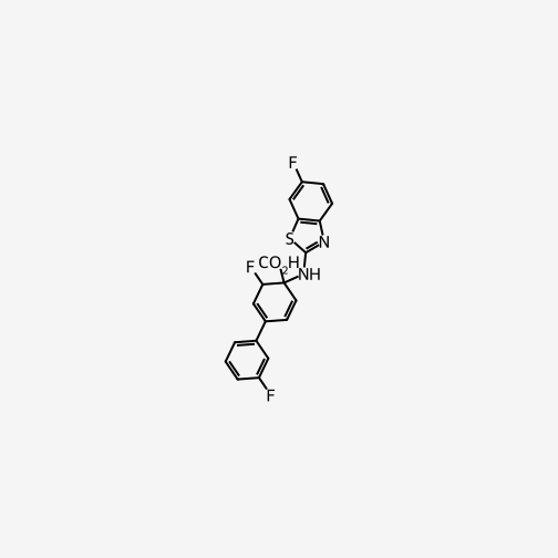 O=C(O)C1(Nc2nc3ccc(F)cc3s2)C=CC(c2cccc(F)c2)=CC1F